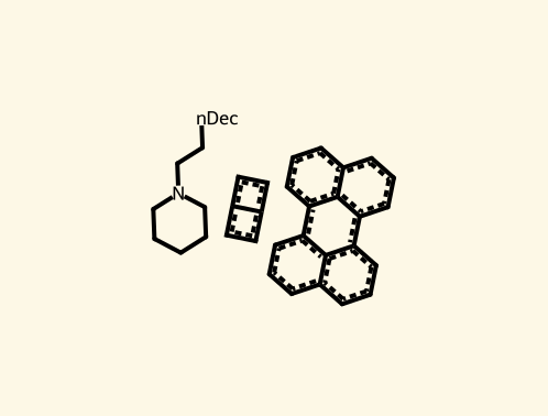 CCCCCCCCCCCCN1CCCCC1.c1cc2ccc1-2.c1cc2cccc3c4cccc5cccc(c(c1)c23)c54